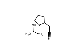 CCO.N#CCC1CCCO1.O